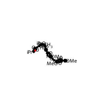 COc1ccc(C2=CN3C(=O)c4cc(OC)c(OCCCOc5cc6c(cc5OC)C(=O)N5C=C(c7ccc(NC(=O)[C@H](C)NC(=O)C(NC(=O)CCCCN8C(=O)C9C%10C=C(C(C)C)C(C%10)C9C8=O)C(C)C)cc7)CC5C=N6)cc4N=C[C@@H]3C2)cc1